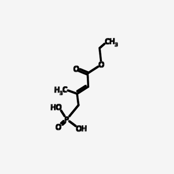 CCOC(=O)/C=C(\C)CP(=O)(O)O